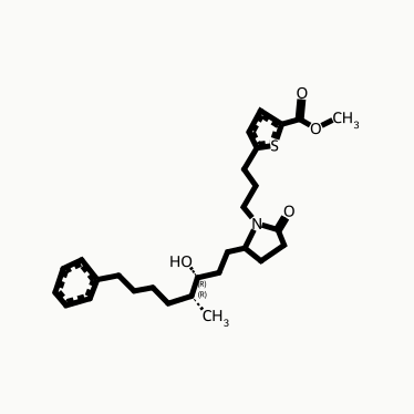 COC(=O)c1ccc(CCCN2C(=O)CCC2CC[C@@H](O)[C@H](C)CCCCc2ccccc2)s1